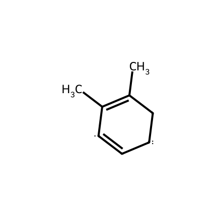 CC1=C(C)C[C]C=[C]1